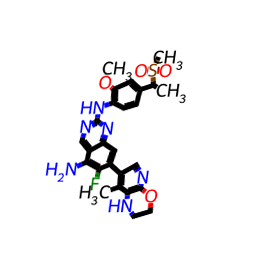 COc1cc(C(C)S(C)(=O)=O)ccc1Nc1ncc2c(N)c(F)c(-c3cnc4c(c3C)NCCO4)cc2n1